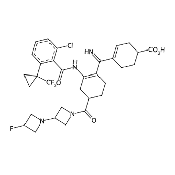 N=C(C1=CCC(C(=O)O)CC1)C1=C(NC(=O)c2c(Cl)cccc2C2(C(F)(F)F)CC2)CC(C(=O)N2CC(N3CC(F)C3)C2)CC1